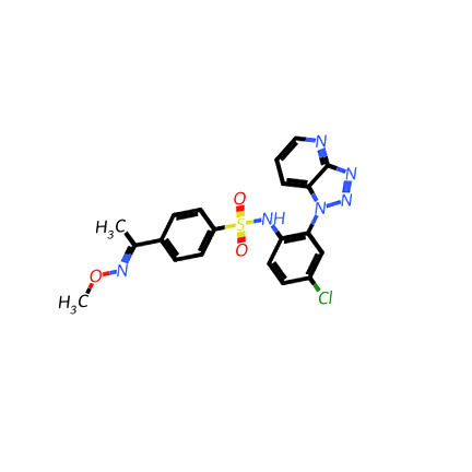 CON=C(C)c1ccc(S(=O)(=O)Nc2ccc(Cl)cc2-n2nnc3ncccc32)cc1